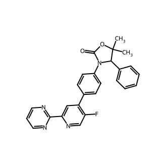 CC1(C)OC(=O)N(c2ccc(-c3cc(-c4ncccn4)ncc3F)cc2)C1c1ccccc1